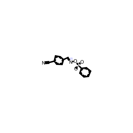 N#Cc1ccc(/C=N/OS(=O)(=O)c2ccccc2)cc1